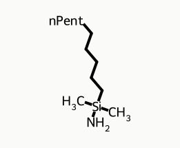 CCCCCCCCCC[Si](C)(C)N